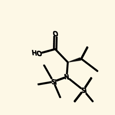 CC(C)[C@@H](C(=O)O)N([Si](C)(C)C)[Si](C)(C)C